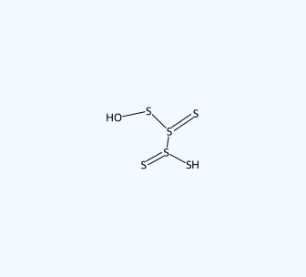 OSS(=S)S(=S)S